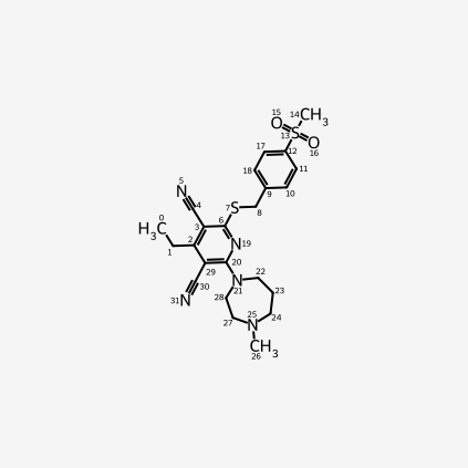 CCc1c(C#N)c(SCc2ccc(S(C)(=O)=O)cc2)nc(N2CCCN(C)CC2)c1C#N